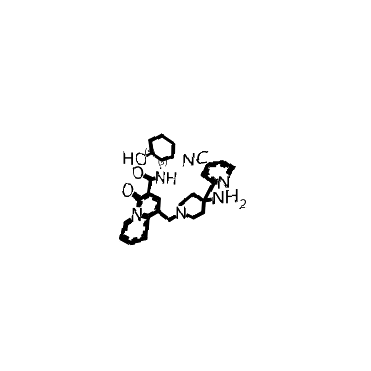 N#Cc1ccnc(C2(N)CCN(Cc3cc(C(=O)N[C@H]4CCCC[C@@H]4O)c(=O)n4ccccc34)CC2)c1